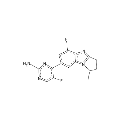 CC1CCc2nc3c(F)cc(-c4nc(N)ncc4F)cc3n21